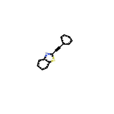 C(#Cc1nc2ccccc2s1)c1ccccc1